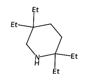 CCC1(CC)CCC(CC)(CC)NC1